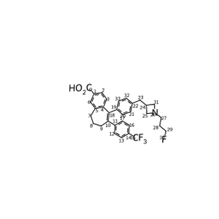 O=C(O)c1ccc2c(c1)CCCC(c1ccc(C(F)(F)F)cc1)=C2c1ccc(CC2CN(CCCF)C2)cc1